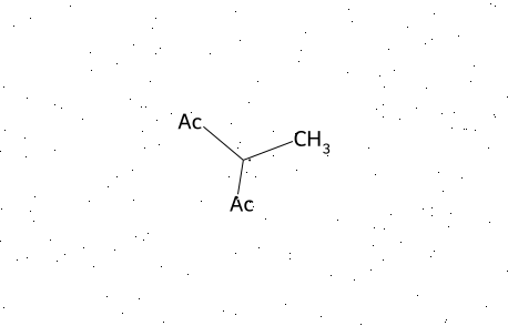 C[C](C(C)=O)C(C)=O